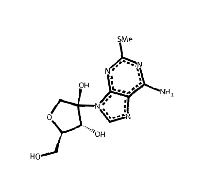 CSc1nc(N)c2ncn([C@@]3(O)CO[C@H](CO)[C@H]3O)c2n1